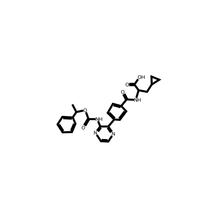 CC(OC(=O)Nc1nccnc1-c1ccc(C(=O)NC(CC2CC2)C(=O)O)cc1)c1ccccc1